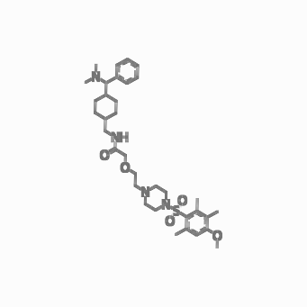 COc1cc(C)c(S(=O)(=O)N2CCN(CCOCC(=O)NCC3CCC(C(c4ccccc4)N(C)C)CC3)CC2)c(C)c1C